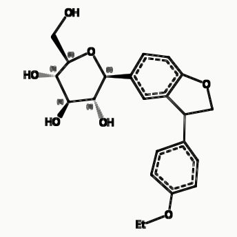 CCOc1ccc(C2COc3ccc([C@@H]4O[C@H](CO)[C@@H](O)[C@H](O)[C@H]4O)cc32)cc1